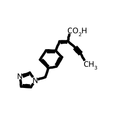 CC#C/C(=C\c1ccc(Cn2ccnc2)cc1)C(=O)O